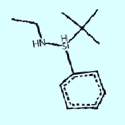 CCN[SiH](c1ccccc1)C(C)(C)C